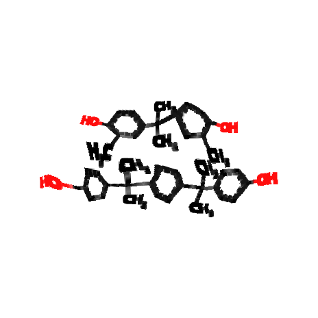 CC(C)(c1ccc(O)cc1)c1ccc(C(C)(C)c2ccc(O)cc2)cc1.Cc1cc(C(C)(C)c2ccc(O)c(C)c2)ccc1O